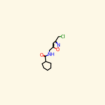 O=C(NCc1cc(CCl)no1)C1CCCCC1